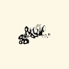 CCC/C=C\c1nc(Cl)c(C(=O)OCC)n1Cc1ccc2oc(-c3ccccc3-c3nnn(C(c4ccccc4)(c4ccccc4)c4ccccc4)n3)c(Br)c2c1